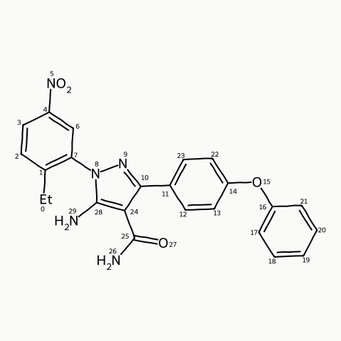 CCc1ccc([N+](=O)[O-])cc1-n1nc(-c2ccc(Oc3ccccc3)cc2)c(C(N)=O)c1N